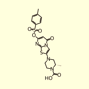 Cc1ccc(S(=O)(=O)Oc2cc(=O)n3cc(N4CCN(C(=O)O)[C@@H](C)C4)sc3n2)cc1